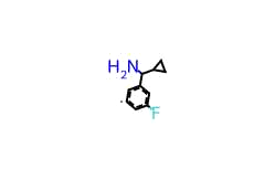 NC(c1c[c]cc(F)c1)C1CC1